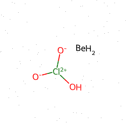 [BeH2].[O-][Cl+2]([O-])O